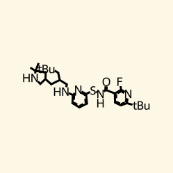 CC(C)(C)CC(CNc1cccc(SNC(=O)c2ccc(C(C)(C)C)nc2F)n1)CC1CNC(C)(C)C1